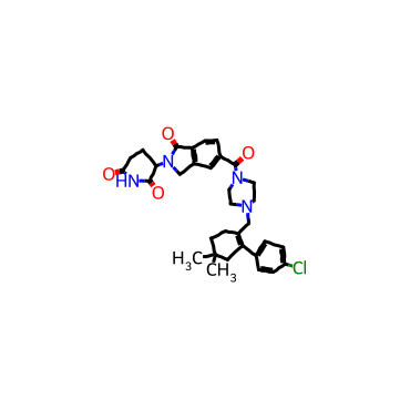 CC1(C)CCC(CN2CCN(C(=O)c3ccc4c(c3)CN(C3CCC(=O)NC3=O)C4=O)CC2)=C(c2ccc(Cl)cc2)C1